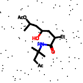 CCC(CC(O)CC(C)OC(C)=O)C(=O)NC(C)(C)CC(C)=O